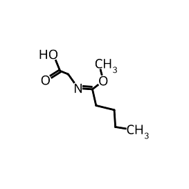 CCCCC(=NCC(=O)O)OC